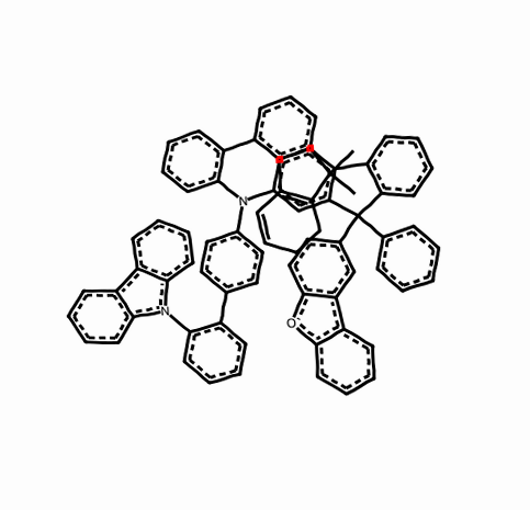 CC1(C)C2=C(C=CCC2)c2c(-c3ccccc3N(c3ccc(-c4ccccc4-n4c5ccccc5c5ccccc54)cc3)c3ccc4c(c3)C(c3ccccc3)(c3ccc5oc6ccccc6c5c3)c3ccccc3-4)cccc21